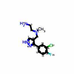 CN(CCN)Cc1c[nH]nc1-c1ccc(F)c(Cl)c1